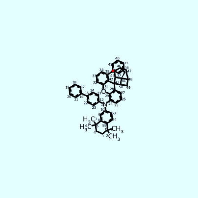 CC1(C)CCC(C)(C)c2cc(N(c3ccc(-c4ccccc4)cc3)c3cccc4c3Oc3cccc(-c5ccccc5)c3C43C4CC5CC6CC3[C@@]64C5)ccc21